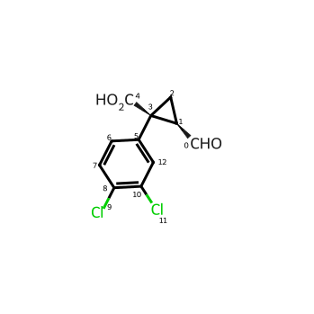 O=C[C@@H]1C[C@@]1(C(=O)O)c1ccc(Cl)c(Cl)c1